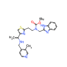 C=C(NCc1ccncc1C)c1csc(CCN(Cc2nc3ccccc3[nH]2)C(=O)OC(C)(C)C)n1